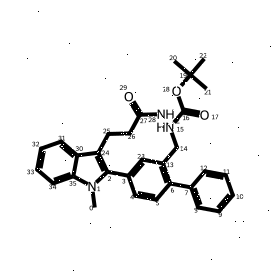 Cn1c(-c2ccc(-c3ccccc3)c(CNC(=O)OC(C)(C)C)c2)c(CCC(N)=O)c2ccccc21